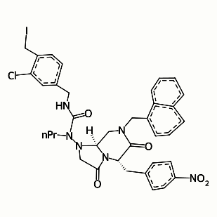 CCCN(C(=O)NCc1ccc(CI)c(Cl)c1)N1CC(=O)N2[C@@H](Cc3ccc([N+](=O)[O-])cc3)C(=O)N(Cc3cccc4ccccc34)C[C@@H]21